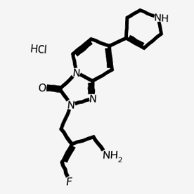 Cl.NC/C(=C\F)Cn1nc2cc(C3=CCNCC3)ccn2c1=O